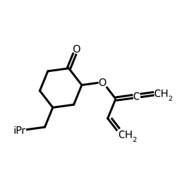 C=C=C(C=C)OC1CC(CC(C)C)CCC1=O